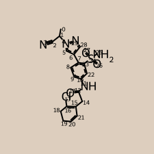 CC(C#N)n1cc(-c2ccc(NC(=O)CC3=C(Cl)CCC=C3)cc2S(N)(=O)=O)cn1